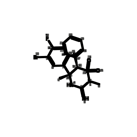 CN1C(=N)N[C@](C)(c2cc(Br)c(F)cc2F)[C@@H](c2ccccc2)S1(=O)=O